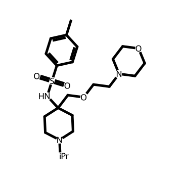 Cc1ccc(S(=O)(=O)NC2(COCCN3CCOCC3)CCN(C(C)C)CC2)cc1